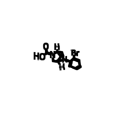 O=C(O)N1C[C@@H]2C[C@H]1CN2c1ccccc1Br